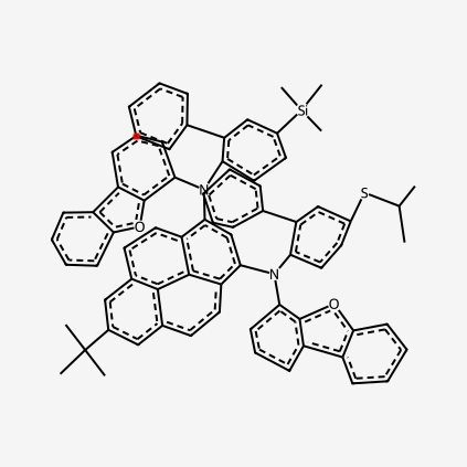 CC(C)Sc1ccc(N(c2cc(N(c3ccc([Si](C)(C)C)cc3-c3ccccc3)c3cccc4c3oc3ccccc34)c3ccc4cc(C(C)(C)C)cc5ccc2c3c54)c2cccc3c2oc2ccccc23)c(-c2ccccc2)c1